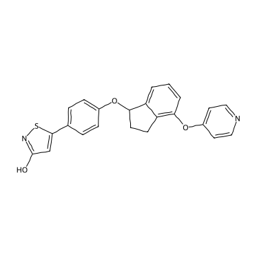 Oc1cc(-c2ccc(OC3CCc4c(Oc5ccncc5)cccc43)cc2)sn1